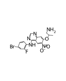 CC(CN)Oc1cc2ncnc(Nc3ccc(Br)cc3F)c2cc1[N+](=O)[O-]